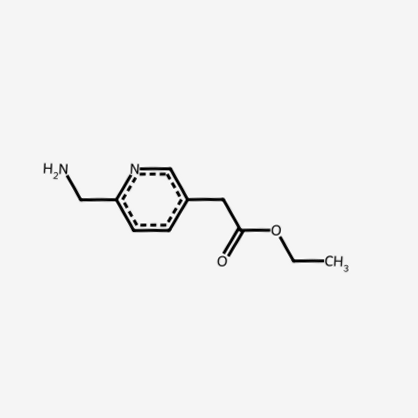 CCOC(=O)Cc1ccc(CN)nc1